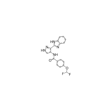 O=C(Nc1c[nH]nc1-c1nc2ccccc2[nH]1)c1ccc(OC(F)F)cc1